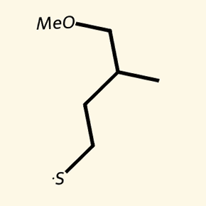 COCC(C)CC[S]